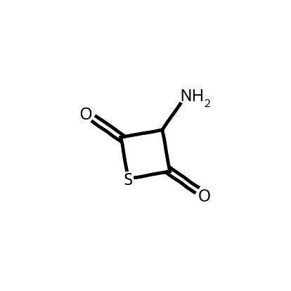 NC1C(=O)SC1=O